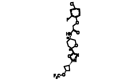 O=C(COc1ccc(Cl)cc1F)N[C@H]1CC[C@H](c2nnc([C@H]3C[C@@H](OC(F)(F)F)C3)o2)OC1